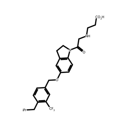 CC(C)Cc1ccc(COc2ccc3c(c2)CCN3C(=O)CNCCC(=O)O)cc1C(F)(F)F